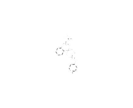 CC(=O)N1Cc2ccccc2C2(CCN(Cc3ccncc3)CC2)C1